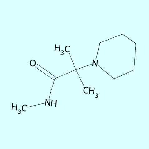 CNC(=O)C(C)(C)N1CCCCC1